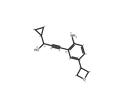 Nc1ccc(C2COC2)cc1C#CC(O)C1CC1